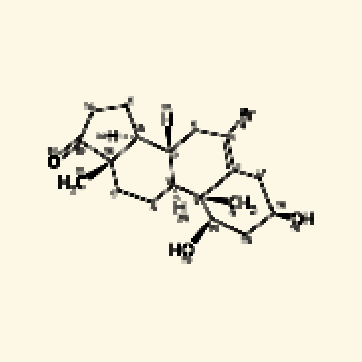 C[C@]12C(=C(Br)C[C@@H]3[C@@H]1CC[C@]1(C)C(=O)CC[C@@H]31)C[C@@H](O)C[C@H]2O